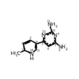 CC1C=CC(c2cc(N)nc(N)n2)=CN1